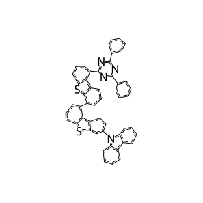 c1ccc(-c2nc(-c3ccccc3)nc(-c3cccc4sc5c(-c6cccc7sc8cc(-n9c%10ccccc%10c%10ccccc%109)ccc8c67)cccc5c34)n2)cc1